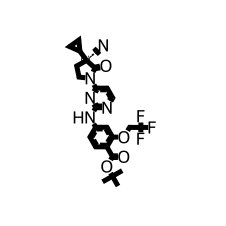 CC(C)(C)OC(=O)c1ccc(Nc2nccc(N3CC[C@@](C#N)(C4CC4)C3=O)n2)cc1OCC(F)(F)F